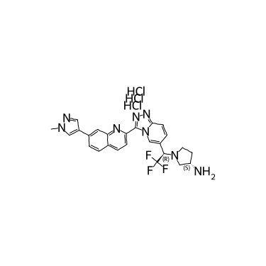 Cl.Cl.Cl.Cn1cc(-c2ccc3ccc(-c4nnc5ccc([C@@H](N6CC[C@H](N)C6)C(F)(F)F)cn45)nc3c2)cn1